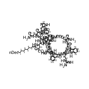 CCCCCCCCCCCCCCCCCCC(=O)NC(CCC(=O)O)C(=O)N[C@H](C(=O)N[C@@H](CCC(N)=O)C(=O)N[C@@H](Cc1c[nH]cn1)C(=O)N[C@@H](CO)C(=O)N[C@@H](CCCC)C(=O)N[C@H]1CCC(=O)NCCCC[C@@H](C(N)=O)NC(=O)[C@H](Cc2c[nH]c3ccccc23)NC(=O)[C@H](CCCNC(=N)N)NC(=O)C(Cc2ccccc2)NC(=O)[C@@H]2CC(O)CN2C1=O)C(C)O